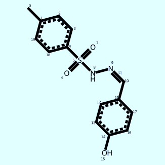 Cc1ccc(S(=O)(=O)N/N=C\c2ccc(O)cc2)cc1